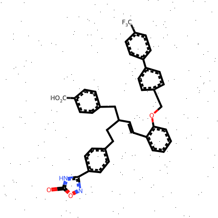 O=C(O)c1ccc(CC(C=Cc2ccccc2OCc2ccc(-c3ccc(C(F)(F)F)cc3)cc2)CCc2ccc(-c3noc(=O)[nH]3)cc2)cc1